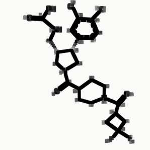 O=C(O)NC[C@H]1CN(C(=O)C2CCN(C(=O)C3CC(F)(F)C3)CC2)C[C@H]1c1ccc(Cl)c(Cl)c1